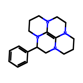 c1ccc(C2CN3CCCN4CCN5CCCN2C5=C43)cc1